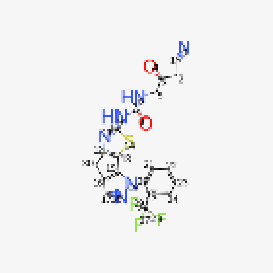 N#CCC(=O)CNC(=O)Nc1nc2c(s1)-c1c(cnn1-c1ccccc1C(F)(F)F)C2